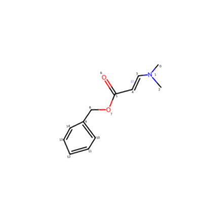 CN(C)/C=C/C(=O)OCc1ccccc1